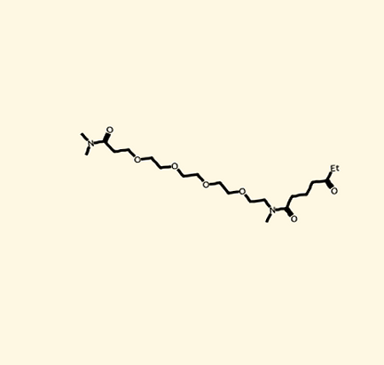 CCC(=O)CCCC(=O)N(C)CCOCCOCCOCCOCCC(=O)N(C)C